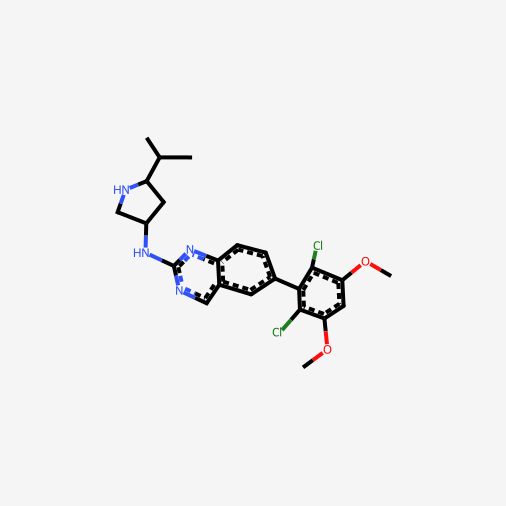 COc1cc(OC)c(Cl)c(-c2ccc3nc(NC4CNC(C(C)C)C4)ncc3c2)c1Cl